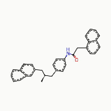 C[C@H](Cc1ccc(NC(=O)Cc2cccc3ccccc23)cc1)Cc1ccc2ccccc2c1